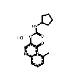 Cc1cccc2ncc(OC(=O)NC3CCCC3)c(=O)n12.Cl